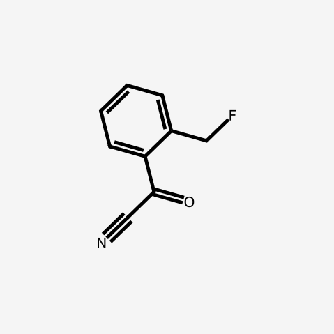 N#CC(=O)c1ccccc1CF